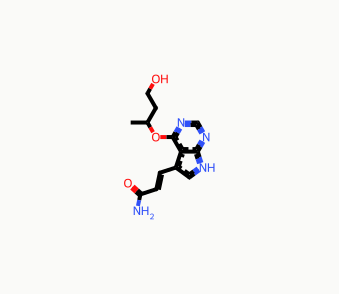 CC(CCO)Oc1ncnc2[nH]cc(C=CC(N)=O)c12